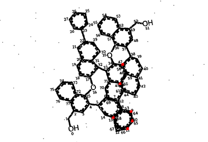 OCc1cc(-c2ccc3ccccc3c2)c(Oc2ccc3cc(-c4ccccc4)ccc3c2-c2c(Oc3c(-c4ccc5ccccc5c4)cc(CO)c4ccccc34)ccc3cc(-c4ccccc4)ccc23)c2ccccc12